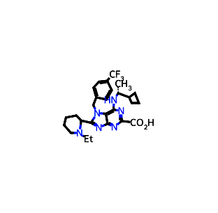 CCN1CCCCC1c1nc2nc(C(=O)O)nc(N[C@H](C)C3CCC3)c2n1Cc1ccc(C(F)(F)F)cc1